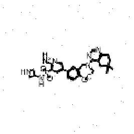 CC1(C)CCc2ncnc(N3CCOc4ccc(-c5cnc(N)c(S(=O)(=O)NC6CNC6)c5)cc4C3)c2C1